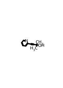 CC(C)(O)C#Cc1ccccn1